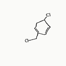 ClCC1=CCC(Cl)C=C1